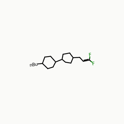 CCCCC1CCC(C2CCC(CC=C(F)F)CC2)CC1